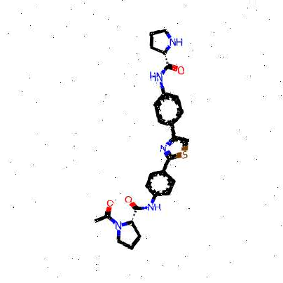 CC(=O)N1CCC[C@H]1C(=O)Nc1ccc(-c2nc(-c3ccc(NC(=O)[C@@H]4CCCN4)cc3)cs2)cc1